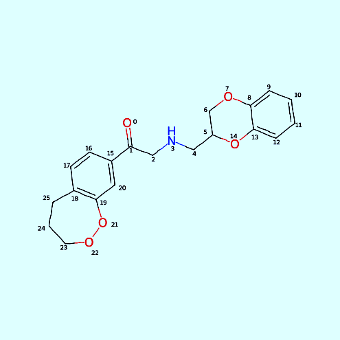 O=C(CNCC1COc2ccccc2O1)c1ccc2c(c1)OOCCC2